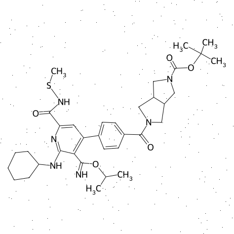 CSNC(=O)c1cc(-c2ccc(C(=O)N3CC4CN(C(=O)OC(C)(C)C)CC4C3)cc2)c(C(=N)OC(C)C)c(NC2CCCCC2)n1